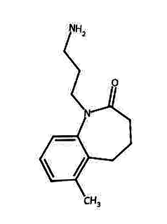 Cc1cccc2c1CCCC(=O)N2CCCN